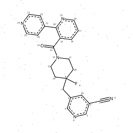 N#Cc1cncc(CC2(F)CCN(C(=O)c3cccnc3-c3ccncc3)CC2)c1